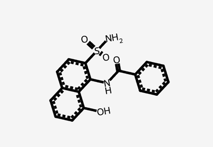 NS(=O)(=O)c1ccc2cccc(O)c2c1NC(=O)c1ccccc1